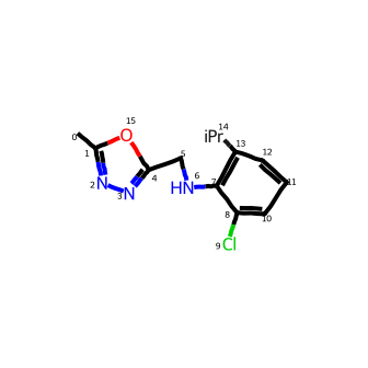 Cc1nnc(CNc2c(Cl)cccc2C(C)C)o1